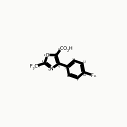 O=C(O)c1oc(C(F)(F)F)nc1-c1ccc(F)cc1